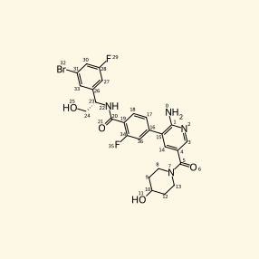 Nc1ncc(C(=O)N2CCC(O)CC2)cc1-c1ccc(C(=O)N[C@H](CO)c2cc(F)cc(Br)c2)c(F)c1